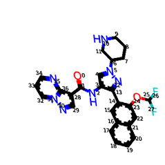 O=C(Nc1cn(C2CCCNC2)nc1-c1cc2ccccc2cc1OC(F)F)c1cnn2cccnc12